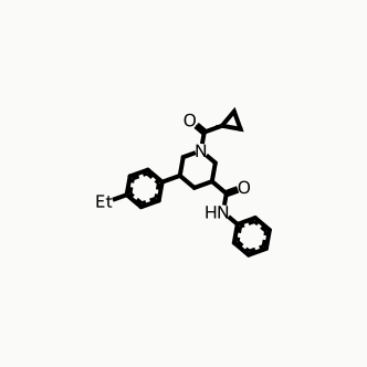 CCc1ccc(C2CC(C(=O)Nc3ccccc3)CN(C(=O)[C]3CC3)C2)cc1